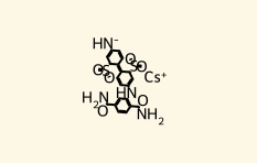 [Cs+].[NH-]C1=CC(=S(=O)=O)C(=C2C=CC(Nc3cc(C(N)=O)ccc3C(N)=O)=CC2=S(=O)=O)C=C1